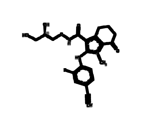 C#Cc1ccc(Nc2c(C(=O)NOC[C@H](O)CO)c3c(n2C)C(=O)CCC3)c(F)c1